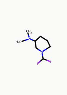 CN(C)C1CCCN(C(I)I)C1